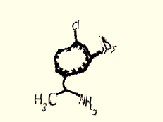 CC(C)c1cc(C(C)N)ccc1Cl